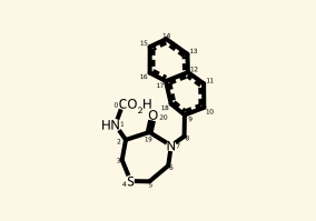 O=C(O)NC1CSCCN(Cc2ccc3ccccc3c2)C1=O